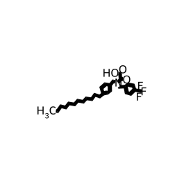 CCCCCCCCCCCCc1ccc(CN(Cc2ccc(C(F)(F)F)cc2)C(=O)C(=O)O)cc1